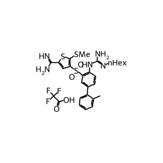 CCCCCCN=C(N)Nc1ccc(-c2ccccc2C)cc1S(=O)(=O)c1cc(C(=N)N)sc1SC.O=C(O)C(F)(F)F